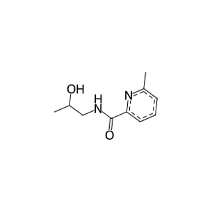 Cc1cccc(C(=O)NCC(C)O)n1